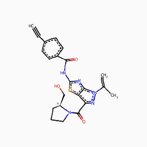 C#Cc1ccc(C(=O)Nc2nc3c(s2)c(C(=O)N2CCC[C@H]2CO)nn3C(=C)C)cc1